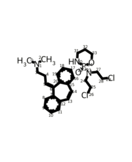 CN(C)CCC=C1c2ccccc2C=Cc2ccccc21.O=P1(N(CCCl)CCCl)NCCCO1